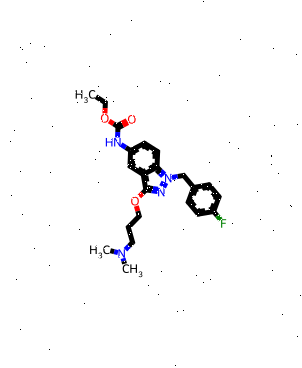 CCOC(=O)Nc1ccc2c(c1)c(OCCCN(C)C)nn2Cc1ccc(F)cc1